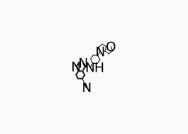 N#Cc1ccc2ncnc(NC3CCC(N4CCC5OCCC54)CC3)c2c1